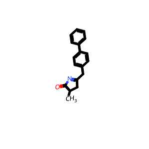 CC1CC(Cc2ccc(-c3ccccc3)cc2)=NC1=O